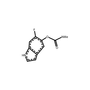 CNC(=O)Oc1cc2cc[nH]c2cc1F